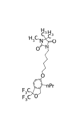 CCCc1c(OCCCCCCN2C(=O)N(C)C(C)(C)C2=O)ccc2c1COC2(C(F)(F)F)C(F)(F)F